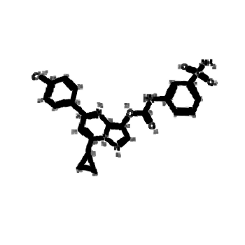 NS(=O)(=O)c1cccc(NC(=O)Oc2cnn3c(C4CC4)cc(-c4ccc(Cl)cc4)nc23)c1